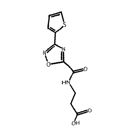 O=C(O)CCNC(=O)c1nc(-c2cccs2)no1